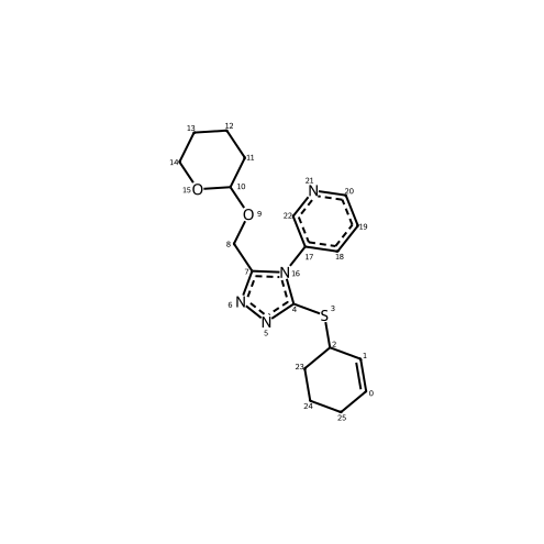 C1=CC(Sc2nnc(COC3CCCCO3)n2-c2cccnc2)CCC1